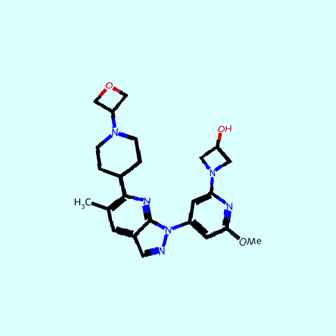 COc1cc(-n2ncc3cc(C)c(C4CCN(C5COC5)CC4)nc32)cc(N2CC(O)C2)n1